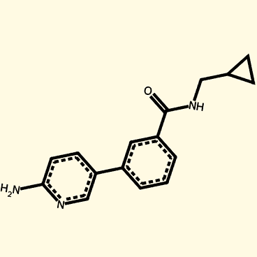 Nc1ccc(-c2cccc(C(=O)NCC3CC3)c2)cn1